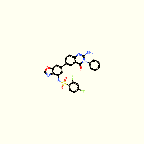 Nc1nc2ccc(-c3cc(NS(=O)(=O)c4ccc(F)cc4F)c4ncoc4c3)cc2c(=O)n1-c1ccccc1